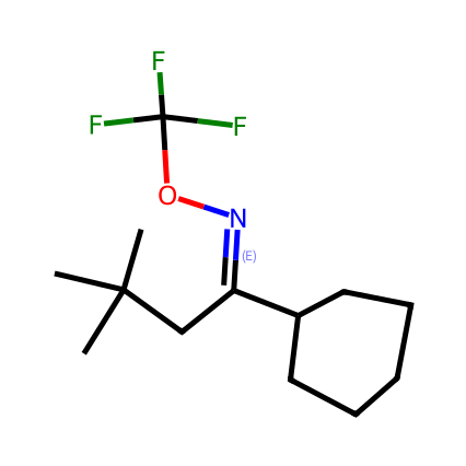 CC(C)(C)C/C(=N\OC(F)(F)F)C1CCCCC1